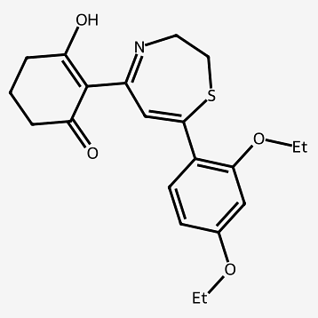 CCOc1ccc(C2=CC(C3=C(O)CCCC3=O)=NCCS2)c(OCC)c1